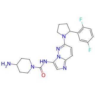 NC1CCN(C(=O)Nc2cnc3ccc(N4CCCC4c4cc(F)ccc4F)nn23)CC1